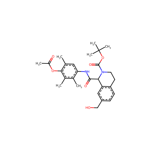 CC(=O)Oc1c(C)cc(NC(=O)C2c3cc(CO)ccc3CCN2C(=O)OC(C)(C)C)c(C)c1C